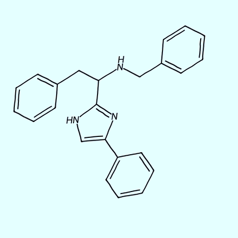 c1ccc(CNC(Cc2ccccc2)c2nc(-c3ccccc3)c[nH]2)cc1